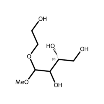 COC(OCCO)C(O)[C@H](O)CO